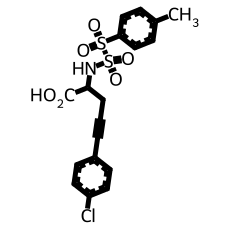 Cc1ccc(S(=O)(=O)S(=O)(=O)NC(CC#Cc2ccc(Cl)cc2)C(=O)O)cc1